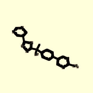 CC(C)C(C)(c1ccc(-c2cnc(N)nc2)cc1)c1noc(-c2cncnc2)n1